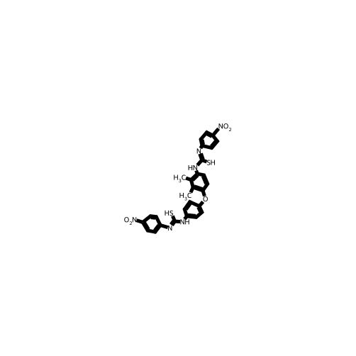 Cc1c(NC(S)=Nc2ccc([N+](=O)[O-])cc2)ccc(Oc2ccc(NC(S)=Nc3ccc([N+](=O)[O-])cc3)cc2)c1C